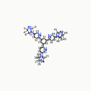 CC1=NC(C)(C)C(C)(C)N1c1ccc(-c2cc(-c3ccc(N4C(C)=NC(C)(C)C4(C)C)cn3)cc(-c3ccc(N4C(C)=NC(C)(C)C4(C)C)cn3)c2)nc1